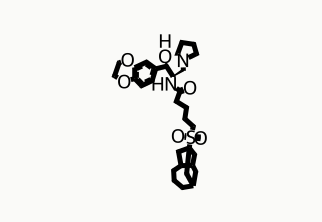 O=C(CCCCS(=O)(=O)C12CC3CCCC(C1)C(C3)C2)N[C@H](CN1CCCC1)[C@@H](O)c1ccc2c(c1)OCCO2